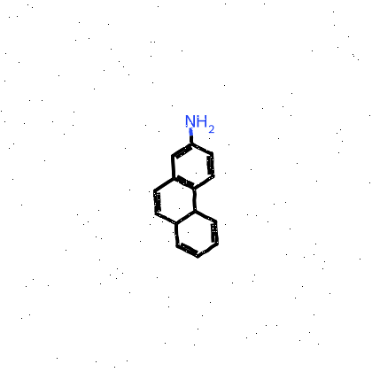 Nc1ccc2c(c1)C=CC1C=CC=CC21